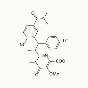 COc1c(C(=O)[O-])nc(C(C)C(c2ccccc2)c2cc(C(=O)N(C)C)ccc2C#N)n(C)c1=O.[Li+]